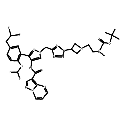 CN(CCN1CC(n2nnc(Cn3cc(NC(=O)c4cnn5cccnc45)c(-c4cc(CC(F)F)ccc4OC(F)F)n3)n2)C1)C(=O)OC(C)(C)C